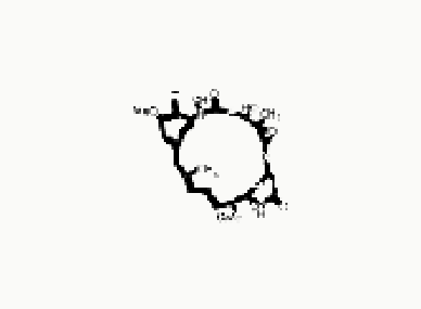 COc1cc2cc(c1Cl)N(C)C(=O)CC(O)C1(C)OC1C[C@@H]1C[C@@H](NC(=O)O1)C(OC)/C=C/C=C(\C)C2